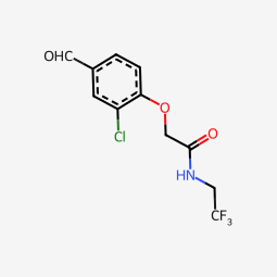 O=Cc1ccc(OCC(=O)NCC(F)(F)F)c(Cl)c1